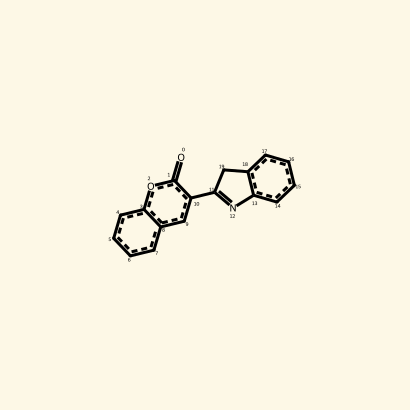 O=c1oc2ccccc2cc1C1=Nc2ccccc2C1